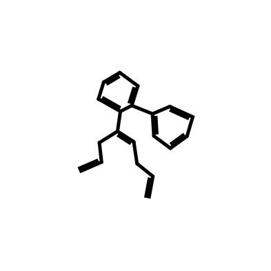 C=CCC=C(CC=C)c1ccccc1-c1ccccc1